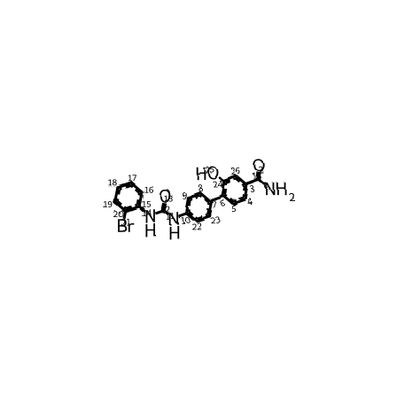 NC(=O)c1ccc(-c2ccc(NC(=O)Nc3ccccc3Br)cc2)c(O)c1